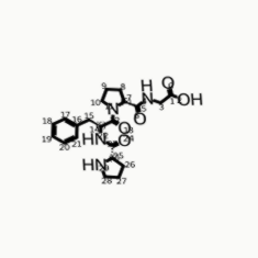 O=C(O)CNC(=O)[C@@H]1CCCN1C(=O)[C@H](Cc1ccccc1)NC(=O)[C@@H]1CCCN1